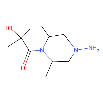 CC1CN(N)CC(C)N1C(=O)C(C)(C)O